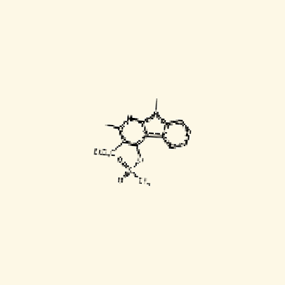 CCOC(=O)c1c(C)nc2c(c1OS(=O)(=O)C(F)(F)F)c1ccccc1n2C